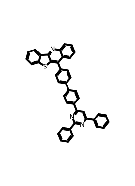 c1ccc(-c2cc(-c3ccc(-c4ccc(-c5c6ccccc6nc6c5sc5ccccc56)cc4)cc3)nc(-c3ccccc3)n2)cc1